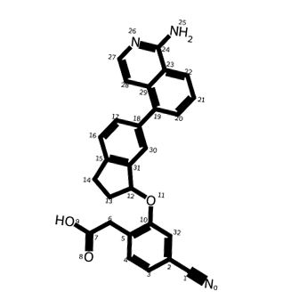 N#Cc1ccc(CC(=O)O)c(OC2CCc3ccc(-c4cccc5c(N)nccc45)cc32)c1